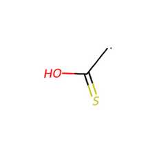 [CH2]C(O)=S